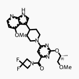 COC[C@@H](C)Oc1nc(C(=O)N2CC(F)(F)C2)cc(N2CCC(c3c[nH]c4nccc(OC)c34)CC2)n1